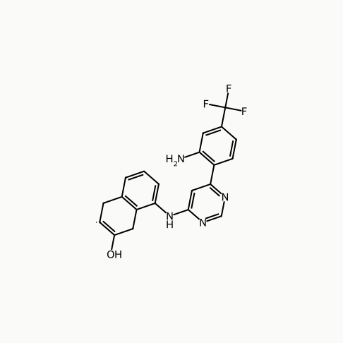 Nc1cc(C(F)(F)F)ccc1-c1cc(Nc2cccc3c2CC(O)=[C]C3)ncn1